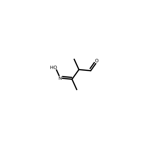 CC(=NO)C(C)C=O